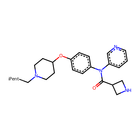 CCCC(C)CN1CCC(Oc2ccc(N(C(=O)C3CNC3)c3cccnc3)cc2)CC1